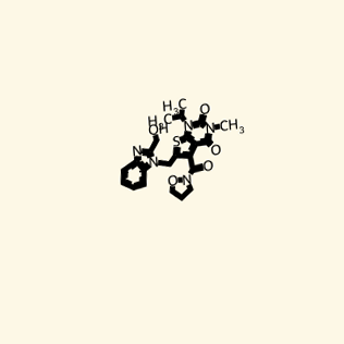 CC(C)n1c(=O)n(C)c(=O)c2c(C(=O)N3CCCO3)c(Cn3c(CO)nc4ccccc43)sc21